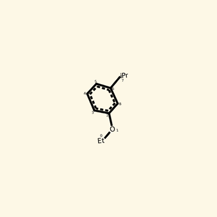 CCOc1c[c]cc(C(C)C)c1